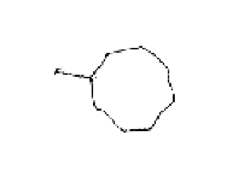 F[C]1CCCCCCC1